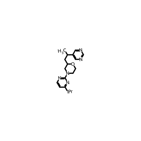 CC(C)c1ccnc(N2CCOC(CC(C)c3cncnc3)C2)n1